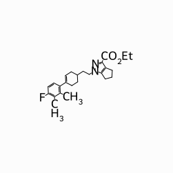 CCOC(=O)c1nn(CCC2CC=C(c3ccc(F)c(C)c3C)CC2)c2c1CCC2